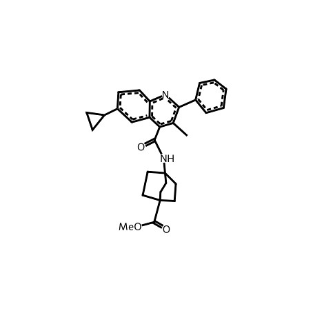 COC(=O)C12CCC(NC(=O)c3c(C)c(-c4ccccc4)nc4ccc(C5CC5)cc34)(CC1)CC2